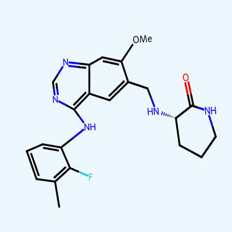 COc1cc2ncnc(Nc3cccc(C)c3F)c2cc1CN[C@H]1CCCNC1=O